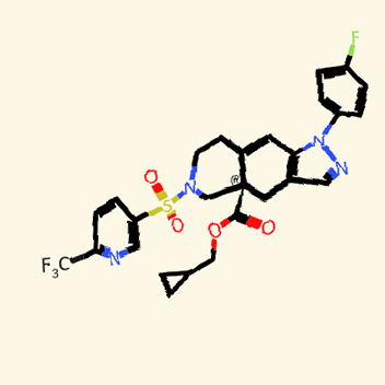 O=C(OCC1CC1)[C@]12Cc3cnn(-c4ccc(F)cc4)c3C=C1CCN(S(=O)(=O)c1ccc(C(F)(F)F)nc1)C2